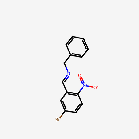 O=[N+]([O-])c1ccc(Br)cc1C=NCc1ccccc1